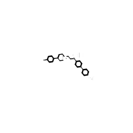 OC(CCN1CC=C(c2ccc(Cl)cc2)CC1)c1ccc(-c2ccc(Br)cc2)cc1